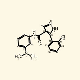 CN(C)c1cccc(NC(=O)c2cn[nH]c2-c2ccccc2Cl)c1